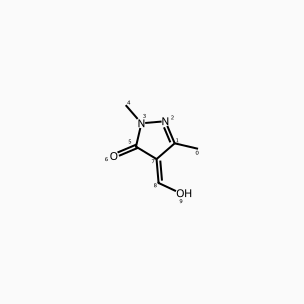 CC1=NN(C)C(=O)/C1=C/O